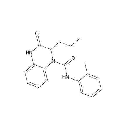 CCCC1C(=O)Nc2ccccc2N1C(=O)Nc1ccccc1C